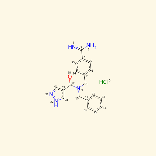 Cl.N=C(N)c1ccc(CN(Cc2ccccc2)C(=O)c2cn[nH]c2)cc1